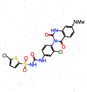 CNc1ccc2c(=O)n(-c3ccc(NC(=O)NS(=O)(=O)c4ccc(Cl)s4)cc3Cl)c(=O)[nH]c2c1